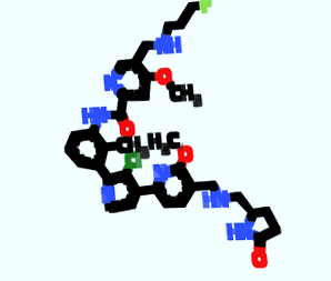 COc1cc(C(=O)Nc2cccc(-c3nccc(-c4ccc(CNC[C@H]5CCC(=O)N5)c(OC)n4)c3Cl)c2C)ncc1CNCCCF